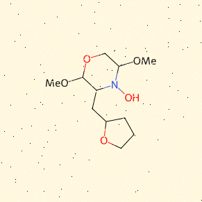 COC1OCC(OC)N(O)C1CC1CCCO1